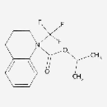 CC(C)OC(=O)[N+]1(C(F)(F)F)CCCc2ccccc21